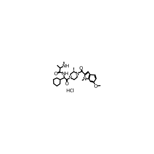 CNC(C)C(=O)NC(C(=O)N1CCN(C(=O)c2cc3ccc(OC)cc3n2C)[C@H](C)C1)C1CCCCC1.Cl